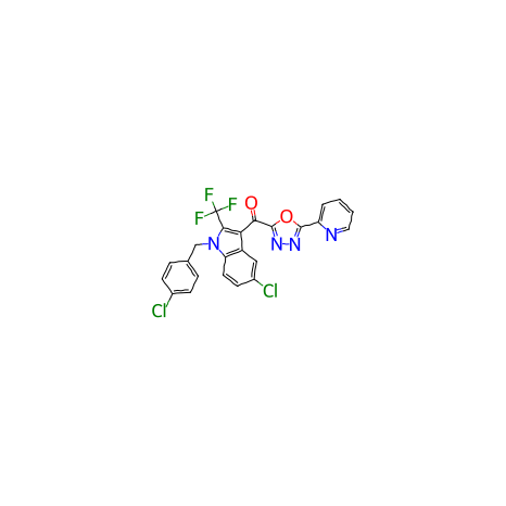 O=C(c1nnc(-c2ccccn2)o1)c1c(C(F)(F)F)n(Cc2ccc(Cl)cc2)c2ccc(Cl)cc12